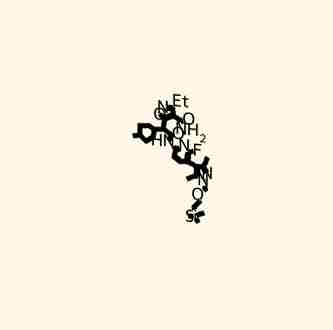 CCc1noc(C(C(=O)Nc2ccc(-c3c(C)nn(COCC[Si](C)(C)C)c3C)c(F)n2)C2CCC(C)CC2)c1C(N)=O